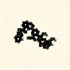 Cc1c(-c2ccc(N3CCc4cccc(C(=O)Nc5nc6ccccc6s5)c4C3)nc2C(=O)O)cc(C#N)n1CC12CC3CC(CC(C)(C3)O1)C2